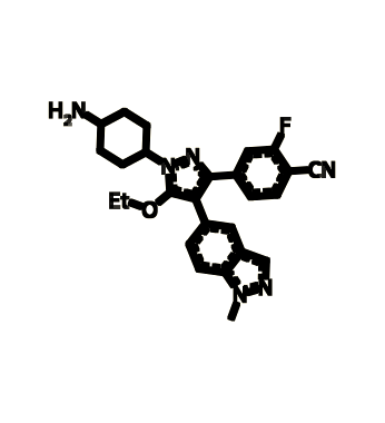 CCOc1c(-c2ccc3c(cnn3C)c2)c(-c2ccc(C#N)c(F)c2)nn1C1CCC(N)CC1